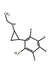 [CH2]CNC1CC1c1c(C)c(F)c(F)c(F)c1F